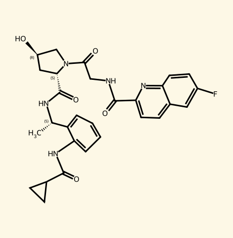 C[C@H](NC(=O)[C@@H]1C[C@@H](O)CN1C(=O)CNC(=O)c1ccc2cc(F)ccc2n1)c1ccccc1NC(=O)C1CC1